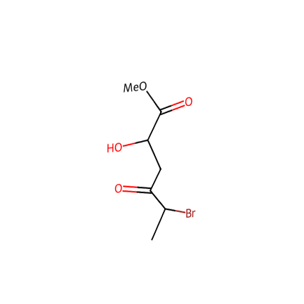 COC(=O)C(O)CC(=O)C(C)Br